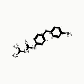 CC(C)NC(=O)Nc1ccc(Cc2ccc(N)cc2)cc1